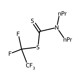 CCCN(CCC)C(=S)SC(F)(F)C(F)(F)F